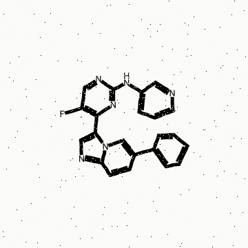 Fc1cnc(Nc2cc[c]nc2)nc1-c1cnc2ccc(-c3ccccc3)cn12